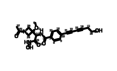 COC1(C(NC(=O)c2ccc(C#CC#CCCO)cc2)C(=O)NO)CN(C(C)=O)C1